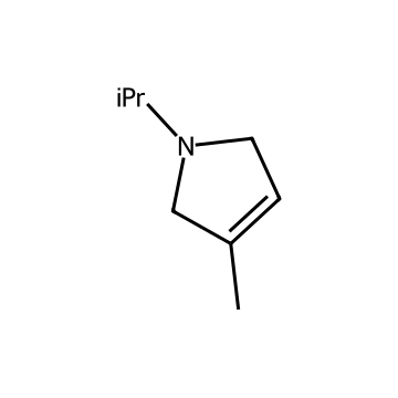 CC1=CCN(C(C)C)C1